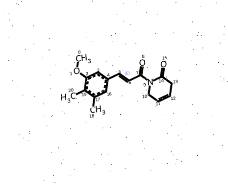 COc1cc(/C=C/C(=O)N2CC=CCC2=O)cc(C)c1C